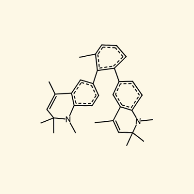 CC1=CC(C)(C)N(C)c2ccc(-c3cccc(C)c3-c3ccc4c(c3)C(C)=CC(C)(C)N4C)cc21